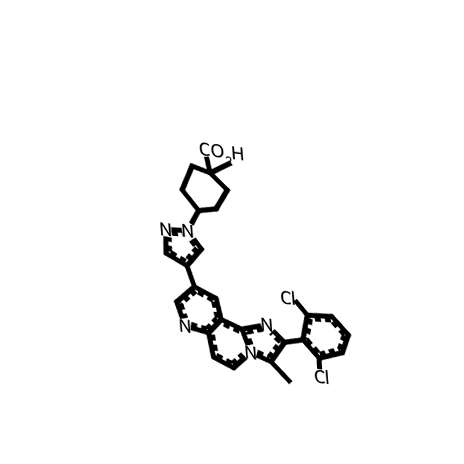 Cc1c(-c2c(Cl)cccc2Cl)nc2c3cc(-c4cnn(C5CCC(C)(C(=O)O)CC5)c4)cnc3ccn12